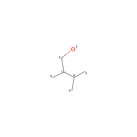 C[C](C[O])C(C)C